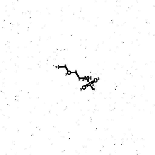 CS(=O)(=O)NCCOCI